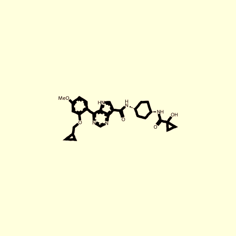 COc1ccc(-c2ncnc3c(C(=O)N[C@H]4CC[C@@H](NC(=O)C5(O)CC5)CC4)c[nH]c23)c(OCC2CC2)c1